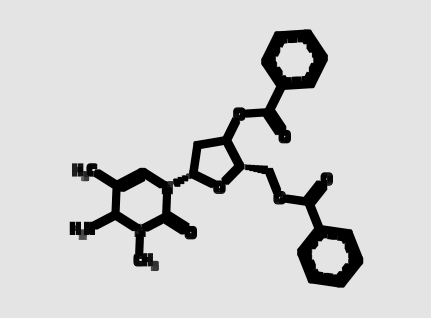 CC1=CN([C@@H]2CC(OC(=O)c3ccccc3)[C@H](COC(=O)c3ccccc3)O2)C(=O)N(C)C1N